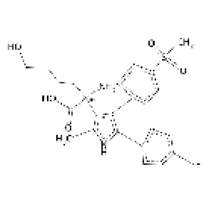 Cc1[nH]c(-c2ccc(F)cc2)c(-c2ccc(S(C)(=O)=O)cc2)c1[C@](N)(CCCCO)C(=O)O